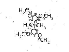 C=COc1cc(OC=C)cc(C(C)(C)c2cc(OC=C)cc(OC=C)c2)c1